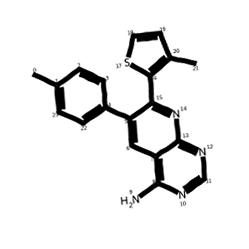 Cc1ccc(-c2cc3c(N)ncnc3nc2-c2sccc2C)cc1